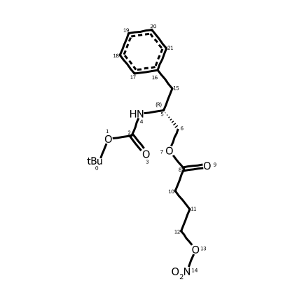 CC(C)(C)OC(=O)N[C@@H](COC(=O)CCCO[N+](=O)[O-])Cc1ccccc1